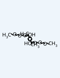 CCCOCCOCCOCC(C)(O)c1ccc(C(C)(O)COCCOCCOCCC)cc1